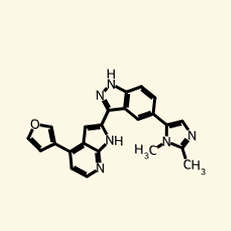 Cc1ncc(-c2ccc3[nH]nc(-c4cc5c(-c6ccoc6)ccnc5[nH]4)c3c2)n1C